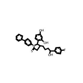 Oc1ccc(C2C(CCCC(O)c3ccc(F)cc3)CC(=S)N2c2ccc(-c3ccccc3)cc2)c(O)c1